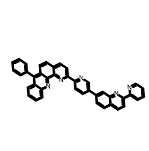 c1ccc(-c2c3ccccc3nc3c2ccc2ccc(-c4ccc(-c5ccc6ccc(-c7ccccn7)nc6c5)cn4)nc23)cc1